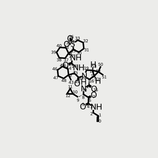 C=CCNC(=O)C(=O)[C@H](CC1CC1)NC(=O)[C@@H]1[C@@H]2[C@H](CN1C(=O)[C@@H](NC(=O)NC1(C3CCCCS3(=O)=O)CCCCC1)C1(C)CCCCC1)C2(C)C